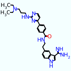 CCN(CC)CCCNc1nccc(-c2ccc(C(=O)NCCc3ccc4[nH]cc(C(=N)N)c4c3)cc2)n1